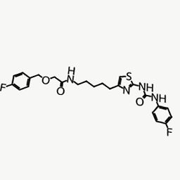 O=C(COCc1ccc(F)cc1)NCCCCCc1csc(NC(=O)Nc2ccc(F)cc2)n1